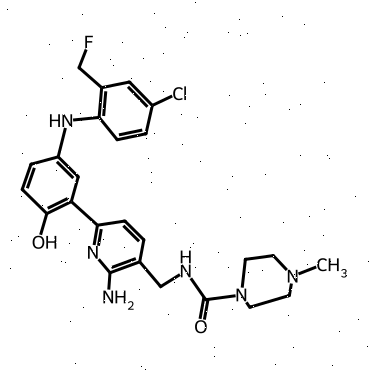 CN1CCN(C(=O)NCc2ccc(-c3cc(Nc4ccc(Cl)cc4CF)ccc3O)nc2N)CC1